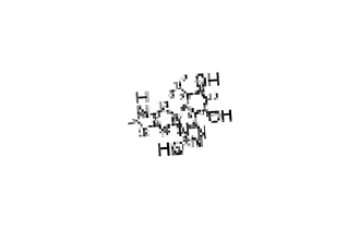 CC(C)c1cc(-c2nnc(O)n2-c2ccc3c(c2)CCN3)c(O)cc1O